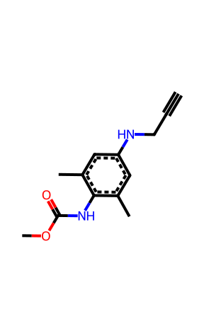 C#CCNc1cc(C)c(NC(=O)OC)c(C)c1